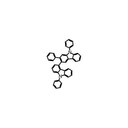 c1ccc(-c2cc3c(cc2-c2cccc4c2c2ccccc2n4-c2ccccc2)c2ccccc2n3-c2ccccc2)cc1